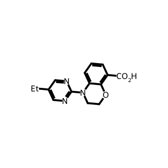 CCc1cnc(N2CCOc3c(C(=O)O)cccc32)nc1